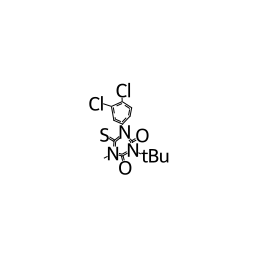 Cn1c(=S)n(-c2ccc(Cl)c(Cl)c2)c(=O)n(C(C)(C)C)c1=O